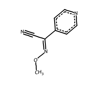 CON=C(C#N)c1ccncc1